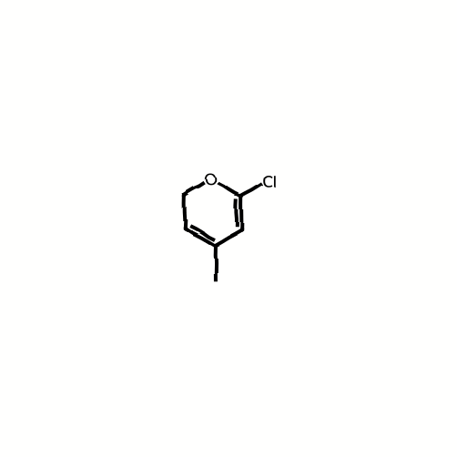 CC1=CCOC(Cl)=C1